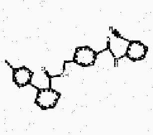 Cc1ccc(-c2ccccc2C(=O)NCc2ccc(C(=O)Nc3ccccc3C#N)cc2)cc1